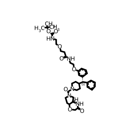 CC(C)(C)OC(=O)NCCOCCC(=O)NCCOc1cccc([C@H](c2ccccc2)C2CCN(C(=O)N3CCC4OCC(=O)N[C@@H]4C3)CC2)c1